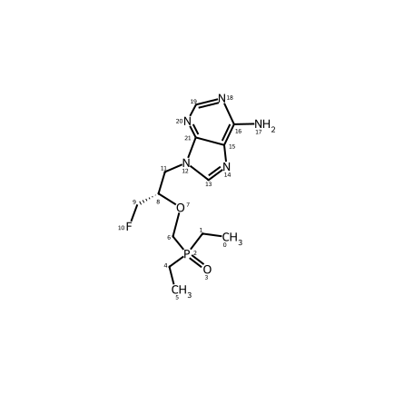 CCP(=O)(CC)CO[C@H](CF)Cn1cnc2c(N)ncnc21